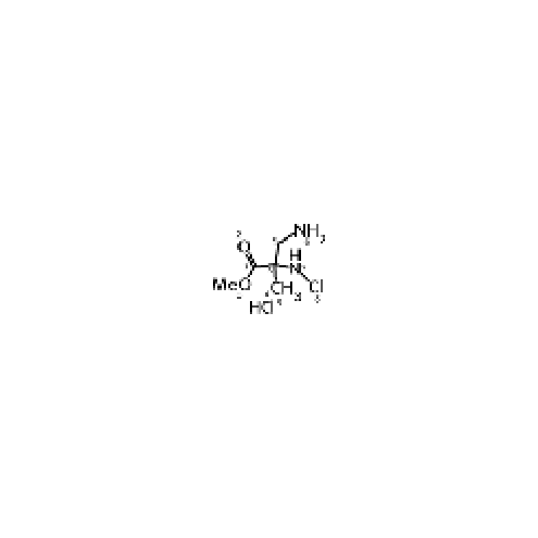 COC(=O)C(C)(CN)NCl.Cl